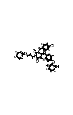 NN1C(=O)N(CCCOC2CCCCO2)C(=O)N(Cc2ccc(Cl)cc2)C1Nc1ccc(OC2NC=CCN2)cc1